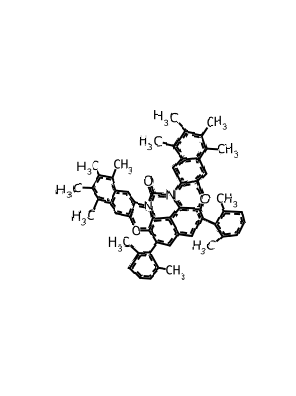 Cc1cccc(C)c1-c1cc2cc(-c3c(C)cccc3C)c3oc4cc5c(C)c(C)c(C)c(C)c5cc4n4c(=O)n5c6cc7c(C)c(C)c(C)c(C)c7cc6oc1c5c2c34